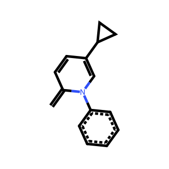 C=C1C=CC(C2CC2)=CN1c1ccccc1